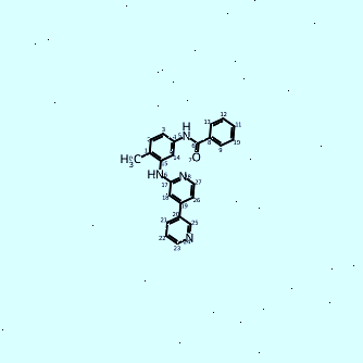 Cc1ccc(NC(=O)c2ccccc2)cc1Nc1cc(-c2cccnc2)ccn1